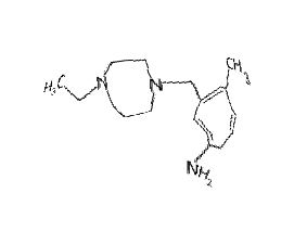 CCN1CCN(Cc2cc(N)ccc2C)CC1